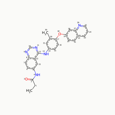 CCC(=O)Nc1ccc2ncnc(Nc3ccc(Oc4ccc5cccnc5c4)c(C)c3)c2c1